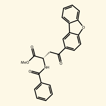 COC(=O)[C@H](CC(=O)c1ccc2oc3ccccc3c2c1)NC(=O)c1ccccc1